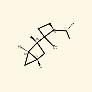 CCC1([C@]2(I)C[C@@H]3C[C@H]32)CC[C@H]1[C@H](C)I